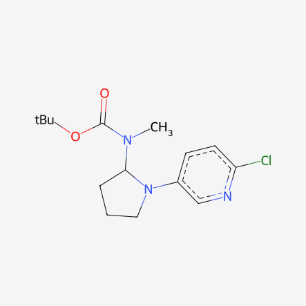 CN(C(=O)OC(C)(C)C)C1CCCN1c1ccc(Cl)nc1